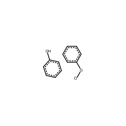 ClOc1ccccc1.Oc1ccccc1